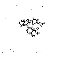 O=c1[nH]cnc2ccc(-c3c(-c4ccn(C5CC5)n4)nc4occn34)cc12